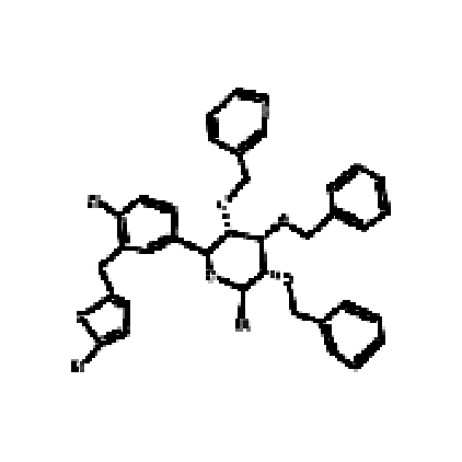 CC[C@H]1OC(c2ccc(Cl)c(Cc3ccc(Br)s3)c2)[C@H](OCc2ccccc2)[C@@H](OCc2ccccc2)[C@@H]1OCc1ccccc1